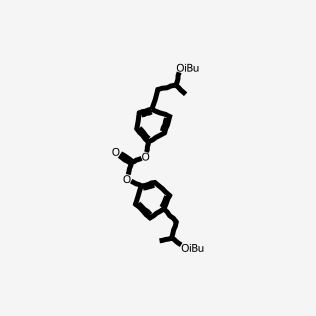 CC(C)COC(C)Cc1ccc(OC(=O)Oc2ccc(CC(C)OCC(C)C)cc2)cc1